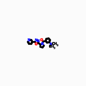 CN(C)c1cccc(C(=O)N2CCCC2c2nnc(-c3cccnc3)o2)c1